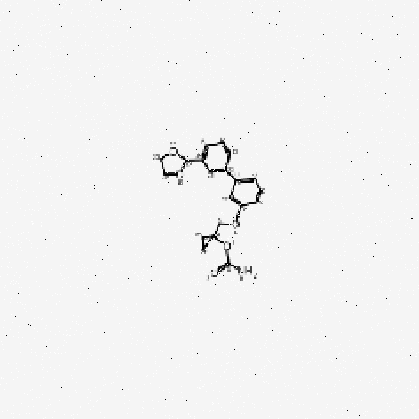 NC(=O)OC1(COc2cccc(-c3cccc(C4OCCO4)c3)c2)CC1